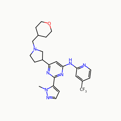 Cn1nccc1-c1nc(Nc2cc(C(F)(F)F)ccn2)cc(C2CCN(CC3CCOCC3)C2)n1